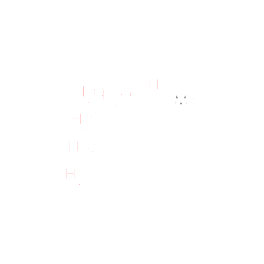 O.O.O.O.O.O.[Mo]